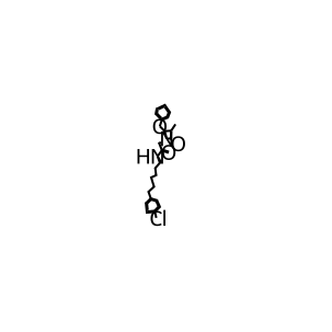 CC1C(=O)N(CC(=O)NCCCCCCc2ccc(Cl)cc2)C1Oc1ccccc1